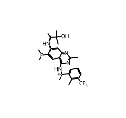 Cc1nc(N[C@H](C)c2cccc(C(F)(F)F)c2C)c2cc(P(C)C)c(NC(C)C(C)(C)O)cc2n1